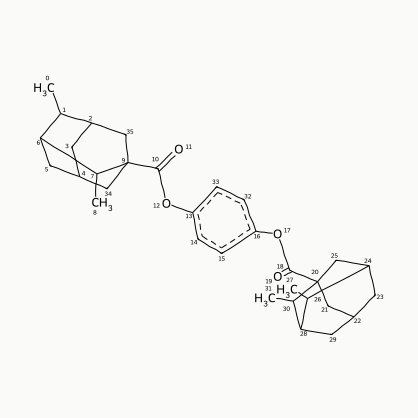 CC1C2CC3CC1C(C)C(C(=O)Oc1ccc(OC(=O)C45CC6CC(C4)C(C)C(C6)C5C)cc1)(C3)C2